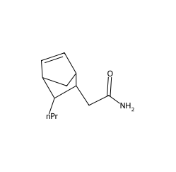 CCCC1C2C=CC(C2)C1CC(N)=O